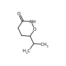 CC(C)C1CCC(=O)NO1